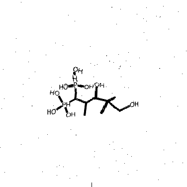 CC(C(O)C(C)(C)CO)C([PH](O)(O)O)[PH](O)(O)O